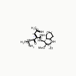 CC[C@@H](NC1CCOCC1)[C@H](CNC(=N)/C(=C\C(C)=N)C(=O)NC(C)N)OC